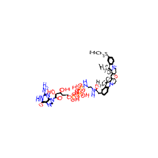 CC1(C)C2=C3C=C4C5=[N+](CCC4OC3CCN2c2ccc(CC(=O)NCCNP(=O)(O)OP(=O)(O)OP(=O)(O)OCC3OC(n4cnc6c(=O)[nH]c(N)nc64)C(O)C3O)cc21)c1ccc(S(=O)(=O)O)cc1C5(C)C